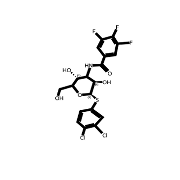 O=C(NC1[C@@H](O)C(CO)O[C@H](Sc2ccc(Cl)c(Cl)c2)[C@@H]1O)c1cc(F)c(F)c(F)c1